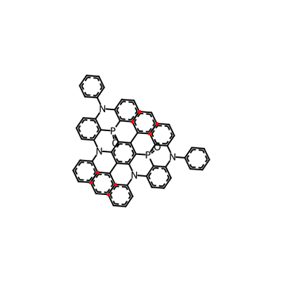 O=P12c3ccccc3N(c3ccccc3)c3cccc(c31)N(c1ccccc1)c1c(-c3ccccc3)c3c(c(-c4ccccc4)c12)P1(=O)c2ccccc2N(c2ccccc2)c2cccc(c21)N3c1ccccc1